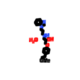 COCCc1ccc(OCC(O)CNCCCn2cnc3ccccc32)cc1.O